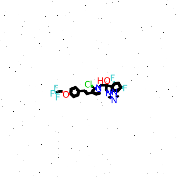 OC(Cn1cncn1)(Cn1ccc(/C=C/c2ccc(OCC(F)(F)F)cc2)c1Cl)c1ccc(F)cc1F